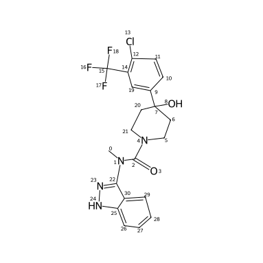 CN(C(=O)N1CCC(O)(c2ccc(Cl)c(C(F)(F)F)c2)CC1)c1n[nH]c2ccccc12